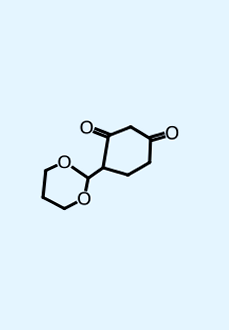 O=C1CCC(C2OCCCO2)C(=O)C1